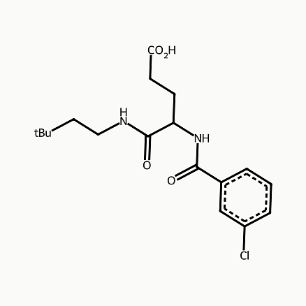 CC(C)(C)CCNC(=O)C(CCC(=O)O)NC(=O)c1cccc(Cl)c1